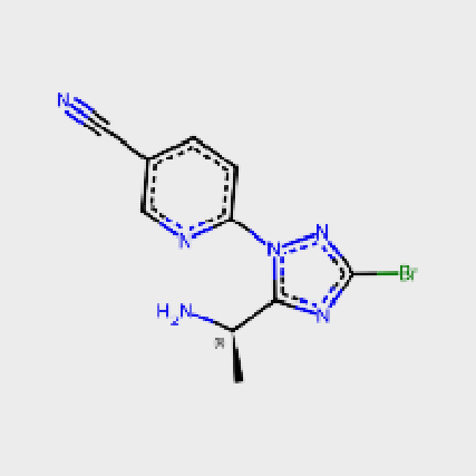 C[C@@H](N)c1nc(Br)nn1-c1ccc(C#N)cn1